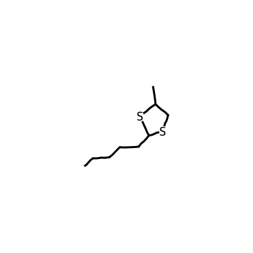 CCCCCC1SCC(C)S1